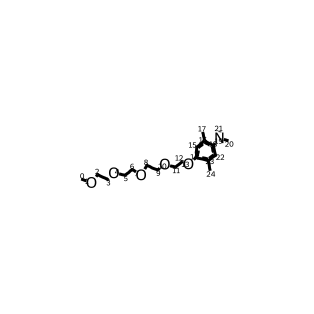 COCCOCCOCCOCCOc1cc(C)c(N(C)C)cc1C